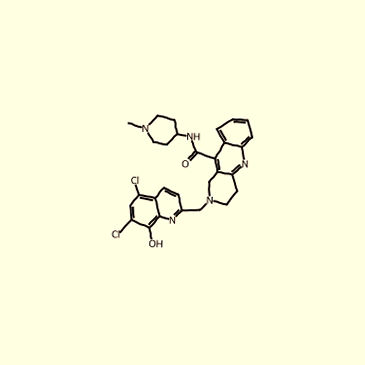 CN1CCC(NC(=O)c2c3c(nc4ccccc24)CCN(Cc2ccc4c(Cl)cc(Cl)c(O)c4n2)C3)CC1